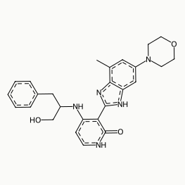 Cc1cc(N2CCOCC2)cc2[nH]c(-c3c(NC(CO)Cc4ccccc4)cc[nH]c3=O)nc12